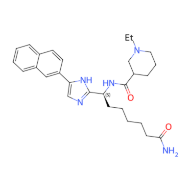 CCN1CCCC(C(=O)N[C@@H](CCCCCC(N)=O)c2ncc(-c3ccc4ccccc4c3)[nH]2)C1